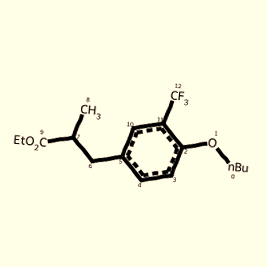 CCCCOc1ccc(CC(C)C(=O)OCC)cc1C(F)(F)F